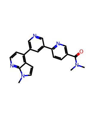 CN(C)C(=O)c1ccc(-c2cncc(-c3ccnc4c3ccn4C)c2)nc1